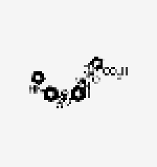 O=C(O)[C@@H]1CCCN1C(=O)Nc1nc2cc(OS(=O)(=O)c3ccc(NC4CCCC4)cc3)ccc2[nH]1